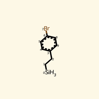 [SiH3]CCc1ccc(Br)cc1